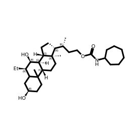 CC[C@@H]1C2C[C@H](O)CCC2(C)[C@H]2CC[C@]3(C)[C@@H]([C@H](C)CCOC(=O)NC4CCCCCC4)CC[C@H]3[C@@H]2[C@@H]1O